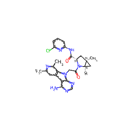 Cc1nc(C(F)(F)F)cc2c3c(N)ncnc3n(CC(=O)N3[C@H](C(=O)Nc4cccc(Cl)n4)C[C@@]4(C)C[C@@H]34)c12